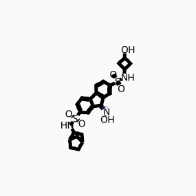 O=S(=O)(NC1CC(O)C1)c1ccc2c(c1)/C(=N/O)c1cc(S(=O)(=O)NC3CC4CCC3C4)ccc1-2